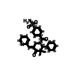 CC1(C)C(=O)C(=Cc2ccccn2)CN(C(=O)c2ccc(S(N)(=O)=O)cc2)C1c1ccccc1